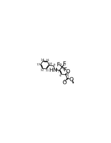 COC(=O)C(=O)/C=C(/NCc1ccccc1)C(F)(F)F